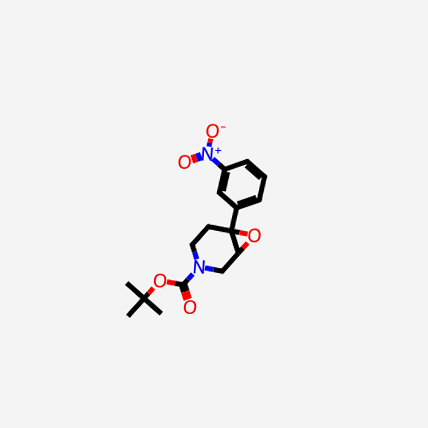 CC(C)(C)OC(=O)N1CCC2(c3cccc([N+](=O)[O-])c3)OC2C1